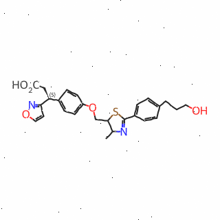 CC1N=C(c2ccc(CCCO)cc2)SC1COc1ccc([C@H](CC(=O)O)c2ccon2)cc1